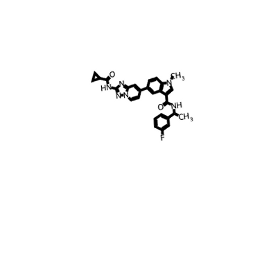 CC(NC(=O)c1cn(C)c2ccc(-c3ccn4nc(NC(=O)C5CC5)nc4c3)cc12)c1cccc(F)c1